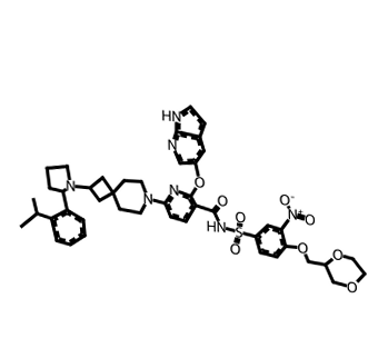 CC(C)c1ccccc1C1CCCN1C1CC2(CCN(c3ccc(C(=O)NS(=O)(=O)c4ccc(OCC5COCCO5)c([N+](=O)[O-])c4)c(Oc4cnc5[nH]ccc5c4)n3)CC2)C1